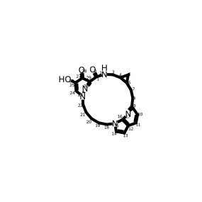 O=C1NCC2CC2CCc2ccc3ccn(c3n2)CCCCCn2cc(O)c(=O)c1n2